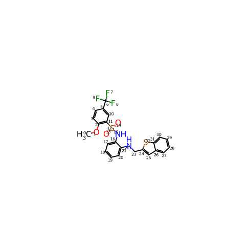 COc1ccc(C(F)(F)F)cc1S(=O)(=O)Nc1ccccc1NCc1cc2ccccc2s1